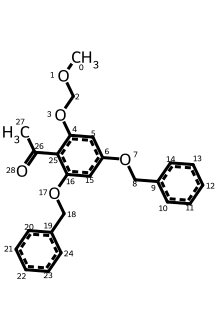 COCOc1cc(OCc2ccccc2)cc(OCc2ccccc2)c1C(C)=O